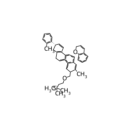 C1=Cc2ccccc2OC1.CC1=Cc2ccc3c(c2=CC1COCC[Si](C)(C)C)=CCC1=C3C=C[C@@H](c2ccccc2C)C1